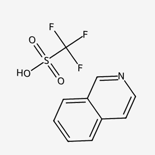 O=S(=O)(O)C(F)(F)F.c1ccc2cnccc2c1